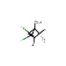 C[C@H]1C2(C)CC1(C(=O)O)C2(F)F